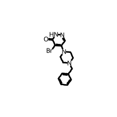 O=c1[nH]ncc(N2CCN(Cc3ccccc3)CC2)c1Br